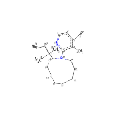 Cc1c(C(C)C)ccnc1N1CCCCCCCC1C(C)(C)CC(C)(C)C